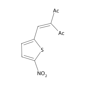 CC(=O)C(=Cc1ccc([N+](=O)[O-])s1)C(C)=O